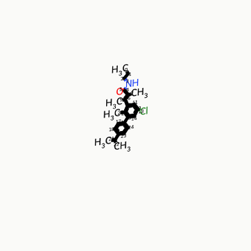 CCCNC(=O)/C(C)=C(\C)c1cc(Cl)cc(-c2ccc(C(C)C)cc2)c1C